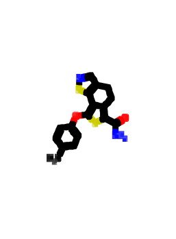 Bc1ccc(Oc2sc(C(N)=O)c3c2-c2sncc2CC3)cc1